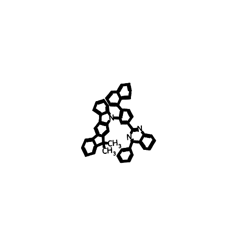 CC1(C)c2ccccc2-c2cc3c4ccccc4n(-c4cc(-c5nc(-c6ccccc6)c6ccccc6n5)ccc4-c4cccc5ccccc45)c3cc21